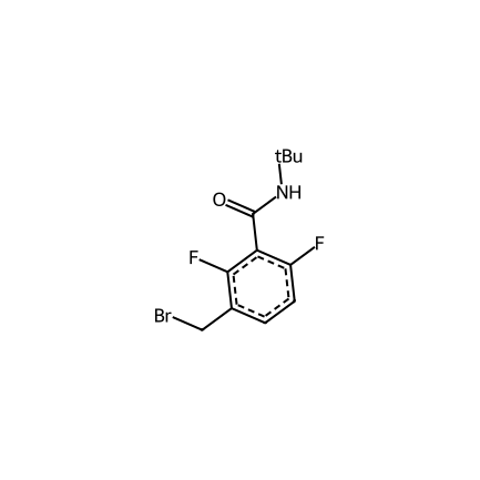 CC(C)(C)NC(=O)c1c(F)ccc(CBr)c1F